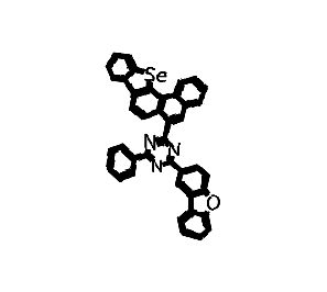 c1ccc(-c2nc(-c3ccc4oc5ccccc5c4c3)nc(-c3cc4ccccc4c4c3ccc3c5ccccc5[se]c34)n2)cc1